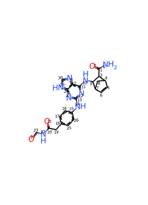 NC(=O)C1C2C=CC(C2)C1Nc1nc(Nc2ccc(CC(=O)NC=O)cc2)nc2[nH]cnc12